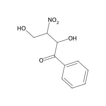 O=C(c1ccccc1)C(O)C(CO)[N+](=O)[O-]